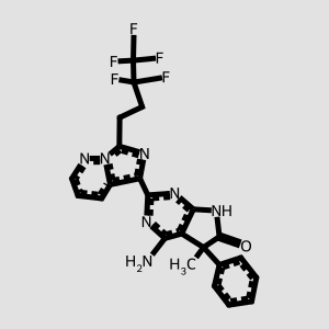 CC1(c2ccccc2)C(=O)Nc2nc(-c3nc(CCC(F)(F)C(F)(F)F)n4ncccc34)nc(N)c21